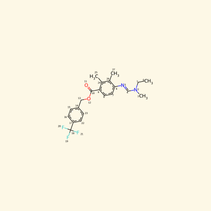 CCN(C)/C=N/c1ccc(C(=O)OCc2ccc(C(F)(F)F)cc2)c(C)c1C